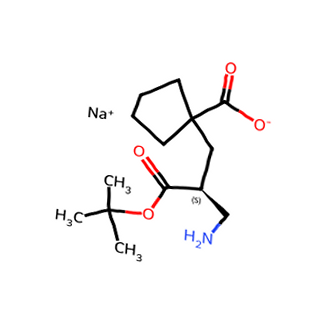 CC(C)(C)OC(=O)[C@H](CN)CC1(C(=O)[O-])CCCC1.[Na+]